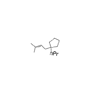 CCCC1(CC=C(C)C)CCCC1